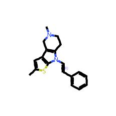 Cc1cc2c3c(n(/C=C/c4ccccc4)c2s1)CCN(C)C3